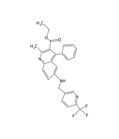 CCOC(=O)c1c(C)nc2ccc(NCc3ccc(C(F)(F)F)nc3)cc2c1-c1ccccc1